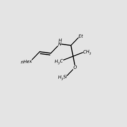 CCCCCCC=CNC(CC)C(C)(C)O[SiH3]